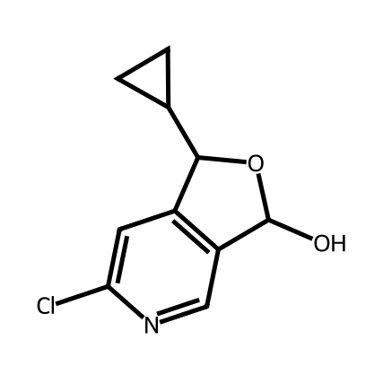 OC1OC(C2CC2)c2cc(Cl)ncc21